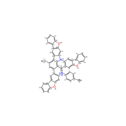 Cc1cc(-c2cc3c(cc2Nc2ccc(C(C)(C)C)cc2)oc2ccccc23)c2c3c1c1cc4c(cc1n3-c1cc3c(cc1B2)oc1ccccc13)oc1ccccc14